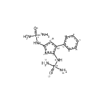 NP(N)(=O)Nc1nc(NP(N)(N)=O)c(-c2ccccc2)s1